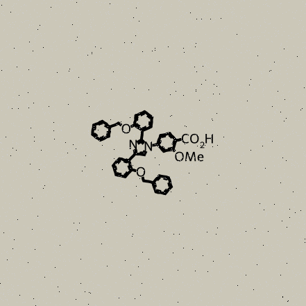 COc1cc(-n2cc(-c3ccccc3OCc3ccccc3)nc2-c2ccccc2OCc2ccccc2)ccc1C(=O)O